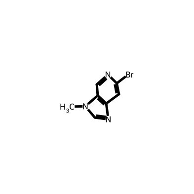 Cn1cnc2cc(Br)ncc21